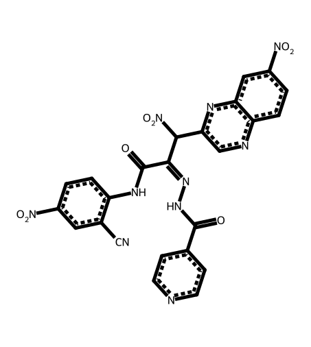 N#Cc1cc([N+](=O)[O-])ccc1NC(=O)C(=NNC(=O)c1ccncc1)C(c1cnc2ccc([N+](=O)[O-])cc2n1)[N+](=O)[O-]